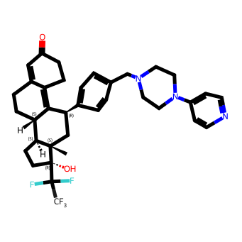 C[C@]12C[C@H](c3ccc(CN4CCN(c5ccncc5)CC4)cc3)C3=C4CCC(=O)C=C4CC[C@H]3[C@@H]1CC[C@]2(O)C(F)(F)C(F)(F)F